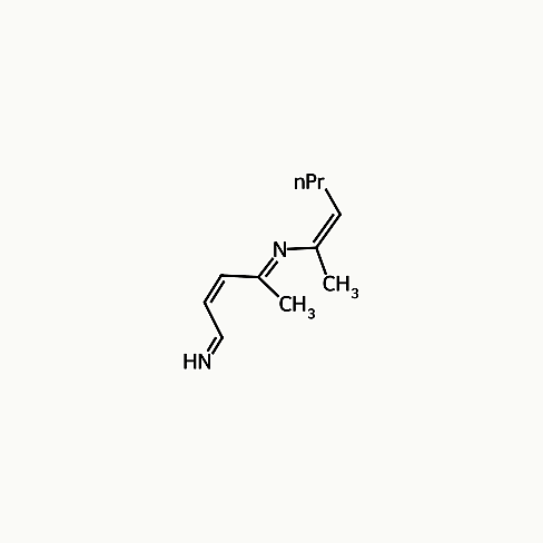 CCC\C=C(C)/N=C(C)/C=C\C=N